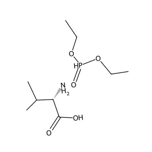 CC(C)[C@H](N)C(=O)O.CCO[PH](=O)OCC